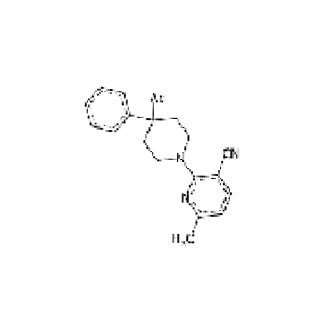 CC(=O)C1(c2ccccc2)CCN(c2nc(C)ccc2C#N)CC1